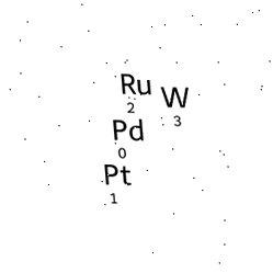 [Pd].[Pt].[Ru].[W]